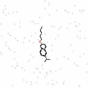 CCCCCOc1ccc2cc(C(C)C)ccc2c1